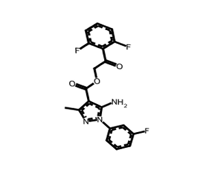 Cc1nn(-c2cccc(F)c2)c(N)c1C(=O)OCC(=O)c1c(F)cccc1F